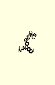 CN(C)CCNc1cc2cccnc2cc1-c1ccc(OC2CCN(C(=O)[C@H]3CCCO3)CC2)cc1